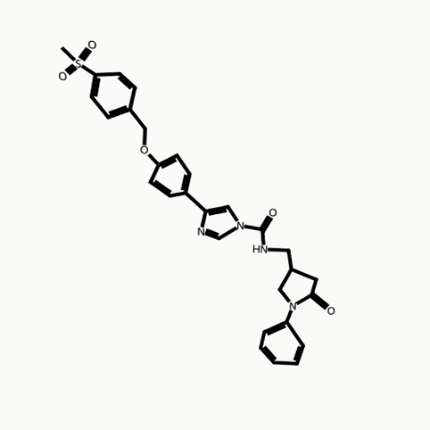 CS(=O)(=O)c1ccc(COc2ccc(-c3cn(C(=O)NCC4CC(=O)N(c5ccccc5)C4)cn3)cc2)cc1